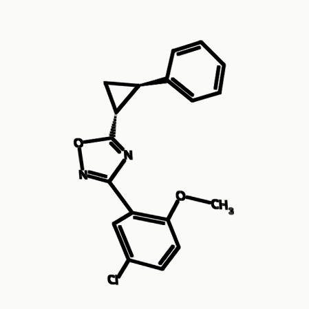 COc1ccc(Cl)cc1-c1noc([C@@H]2C[C@H]2c2ccccc2)n1